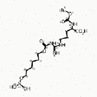 CC(C)(C)OC(=O)NC(CCCNC(=N)NC(=O)OCCCCCCON(O)O)C(=O)O